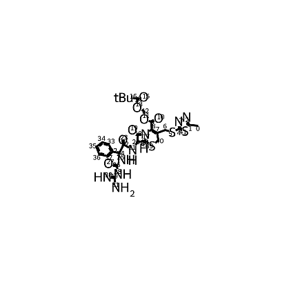 Cc1nnc(SCC2=C(C(=O)OCOC(=O)C(C)(C)C)N3C(=O)C(NC(=O)C(NC(=O)NC(=N)N)c4ccccc4)[C@@H]3SC2)s1